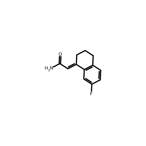 NC(=O)C=C1CCCc2ccc(F)cc21